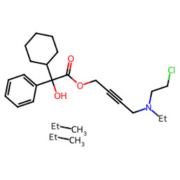 CCC.CCC.CCN(CC#CCOC(=O)C(O)(c1ccccc1)C1CCCCC1)CCCl